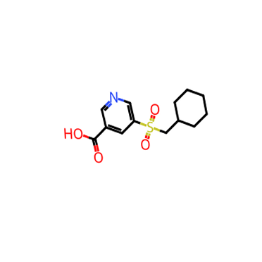 O=C(O)c1cncc(S(=O)(=O)CC2CCCCC2)c1